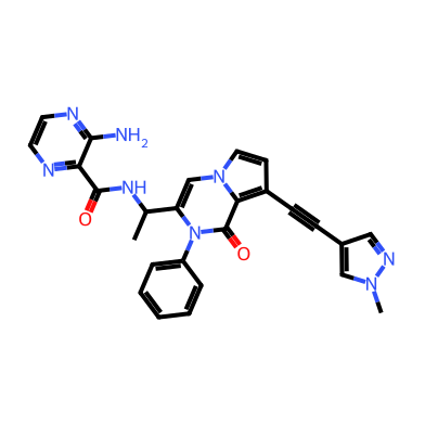 CC(NC(=O)c1nccnc1N)c1cn2ccc(C#Cc3cnn(C)c3)c2c(=O)n1-c1ccccc1